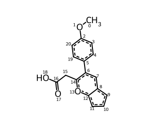 COc1ccc(-c2cc3cccc-3oc2CC(=O)O)cc1